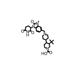 Cn1c(=O)n(C2CCC(=O)NC2=O)c2ccc(CN3CCC(C4CCN(C(=O)O)CC4C(C)(C)C)CC3)cc21